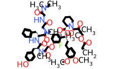 C=CC(=O)OCC(C)(C)C(=O)C(=O)N1CCCC[C@H]1C(=O)O[C@H](CCc1ccc(OC)c(OC)c1)c1cccc(OCC(=O)N(C)[C@@H](Cc2ccc(O)cc2)C(=O)N[C@H](Cc2ccccc2)C(=O)N(C)CC(=O)NCC(=O)N(C)CC)c1F